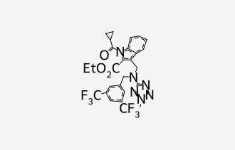 CCOC(=O)c1c(CN(Cc2cc(C(F)(F)F)cc(C(F)(F)F)c2)c2nnn(C)n2)c2ccccc2n1C(=O)C1CC1